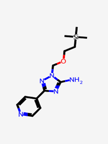 C[Si](C)(C)CCOCn1nc(-c2ccncc2)nc1N